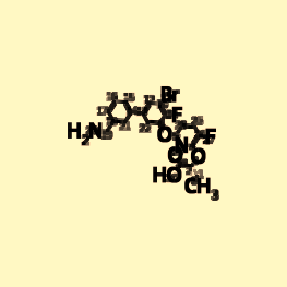 CC[C@@H](Oc1nc(Oc2cc(Br)cc(-c3cccc(CN)c3)c2)c(F)cc1F)C(=O)O